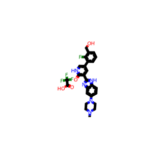 CN1CCN(c2ccc3[nH]c(-c4cc(-c5cccc(CO)c5F)c[nH]c4=O)nc3c2)CC1.O=C(O)C(F)(F)F